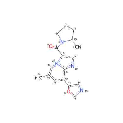 N#C[C@H]1CCCN1C(=O)c1cnc2c(-c3cnco3)cc(C(F)(F)F)cn12